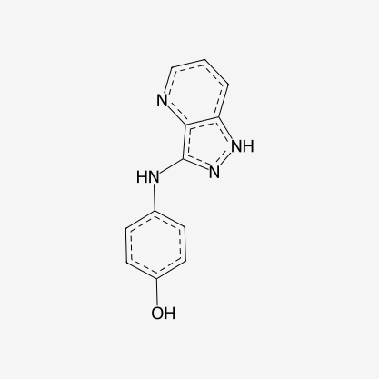 Oc1ccc(Nc2n[nH]c3cccnc23)cc1